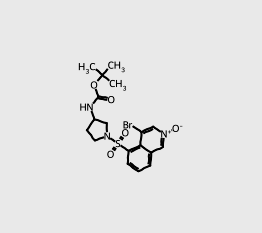 CC(C)(C)OC(=O)NC1CCN(S(=O)(=O)c2cccc3c[n+]([O-])cc(Br)c23)C1